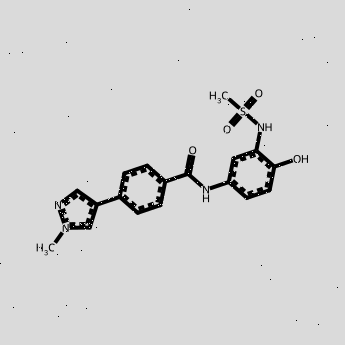 Cn1cc(-c2ccc(C(=O)Nc3ccc(O)c(NS(C)(=O)=O)c3)cc2)cn1